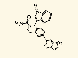 NC(=O)N1CCc2cc(-c3ccc4cc[nH]c4c3)ccc2C1c1c[nH]c2ccccc12